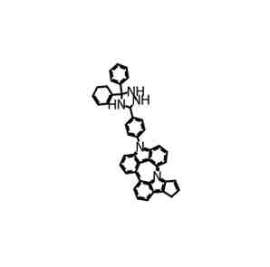 C1=CCCC(C2(c3ccccc3)NNC(c3ccc(-n4c5cccc6c7cccc8c9c(n(c%10cccc4c%10c65)c87)C=CC9)cc3)N2)=C1